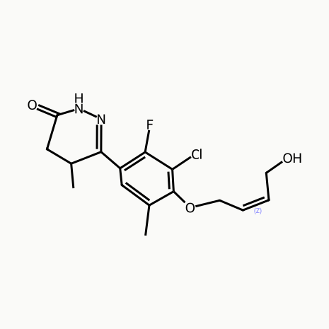 Cc1cc(C2=NNC(=O)CC2C)c(F)c(Cl)c1OC/C=C\CO